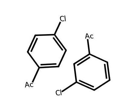 CC(=O)c1ccc(Cl)cc1.CC(=O)c1cccc(Cl)c1